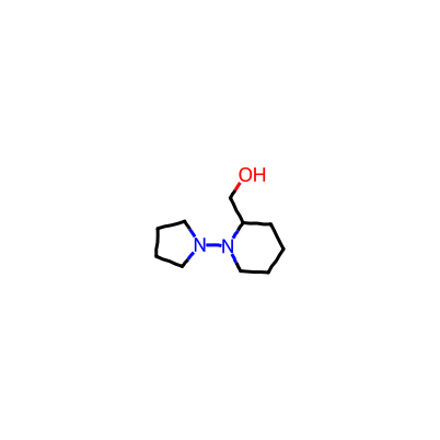 OCC1CCCCN1N1CCCC1